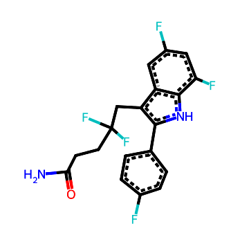 NC(=O)CCC(F)(F)Cc1c(-c2ccc(F)cc2)[nH]c2c(F)cc(F)cc12